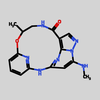 CNc1cc2nc3c(cnn13)C(=O)NCC(C)Oc1cccc(n1)N2